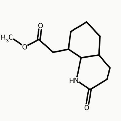 COC(=O)CC1CCCC2CCC(=O)NC21